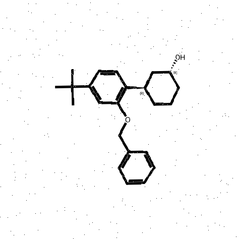 CC(C)(C)c1ccc([C@@H]2CCC[C@@H](O)C2)c(OCc2ccccc2)c1